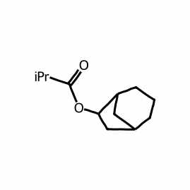 CC(C)C(=O)OC1CC2CCCC1C2